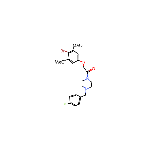 COc1cc(OCC(=O)N2CCN(Cc3ccc(F)cc3)CC2)cc(OC)c1Br